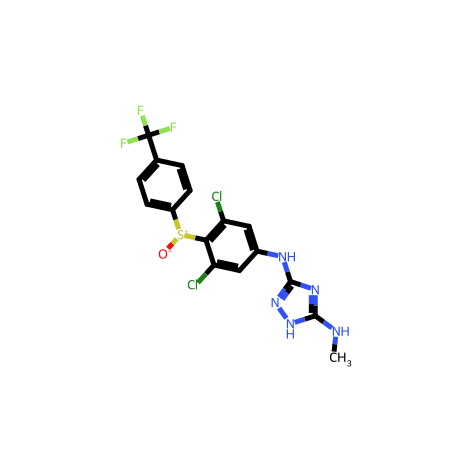 CNc1nc(Nc2cc(Cl)c([S+]([O-])c3ccc(C(F)(F)F)cc3)c(Cl)c2)n[nH]1